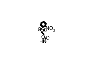 [NH]C(=O)OCCS(=O)(=O)c1ccccc1[N+](=O)[O-]